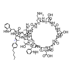 CCCCCc1ccc(/C(C)=C/C(=O)N[C@@H](Cc2c[nH]c3ccccc23)C(=O)N[C@H](CC(N)=O)C(=O)N[C@@H](CC(=O)O)C(=O)N[C@@H]2C(=O)NCC(=O)N[C@@H](CCCN)C(=O)N[C@@H](CC(=O)O)C(=O)N[C@H](C)C(=O)N[C@@H](CC(=O)O)C(=O)NCC(=O)N[C@H](CO)C(=O)NC(C(C)CC(=O)O)C(=O)N[C@@H](CC(=O)c3ccccc3NC)C(=O)O[C@@H]2C)cc1